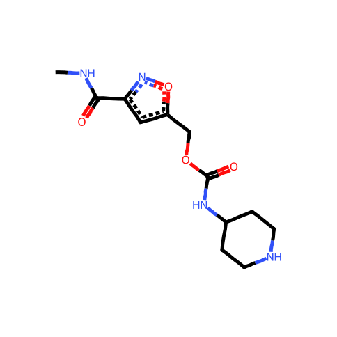 CNC(=O)c1cc(COC(=O)NC2CCNCC2)on1